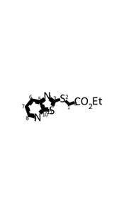 CCOC(=O)CSc1nc2cccnc2s1